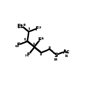 CCC(F)C(F)C(F)(F)CCSC(C)=O